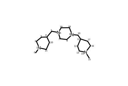 CN1CCC(CN2CCN(CC3CCN(C)CC3)CC2)CC1